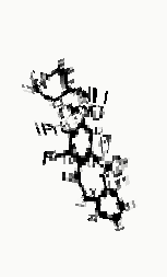 CC(C)c1c(S(=O)(=O)NC2CCOCC2)cc2c(c1F)CCc1ccccc1S2(=O)=O